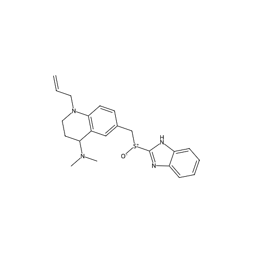 C=CCN1CCC(N(C)C)c2cc(C[S+]([O-])c3nc4ccccc4[nH]3)ccc21